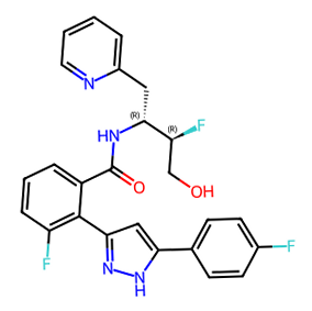 O=C(N[C@H](Cc1ccccn1)[C@@H](F)CO)c1cccc(F)c1-c1cc(-c2ccc(F)cc2)[nH]n1